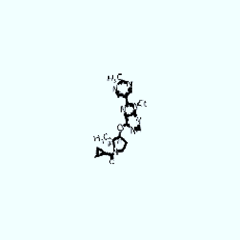 CCn1c(-c2cnc(C)nc2)nc2c(O[C@H]3CCN(C(=O)C4CC4)[C@@H]3C)ncnc21